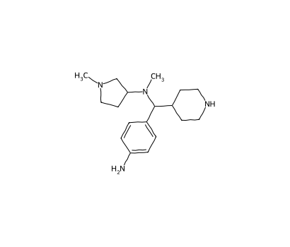 CN1CCC(N(C)C(c2ccc(N)cc2)C2CCNCC2)C1